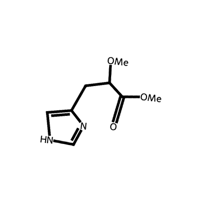 COC(=O)C(Cc1c[nH]cn1)OC